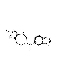 CC(c1ccc2scnc2c1)N1CCc2nn(C)cc2C(O)C1